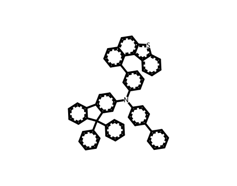 c1ccc(-c2ccc(N(c3cccc(-c4cccc5ccc6sc7ccccc7c6c45)c3)c3ccc4c(c3)C(c3ccccc3)(c3ccccc3)c3ccccc3-4)cc2)cc1